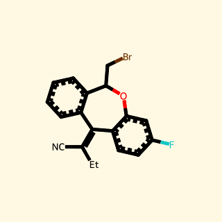 CC/C(C#N)=C1\c2ccc(F)cc2OC(CBr)c2ccccc21